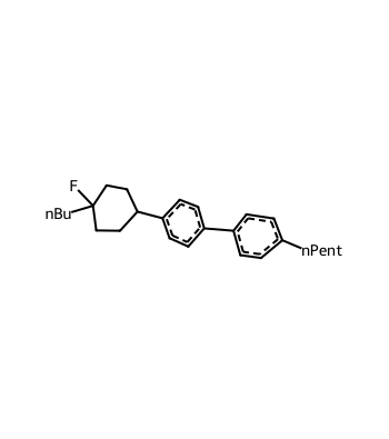 CCCCCc1ccc(-c2ccc(C3CCC(F)(CCCC)CC3)cc2)cc1